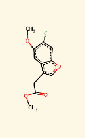 COC(=O)Cc1coc2cc(Cl)c(OC)cc12